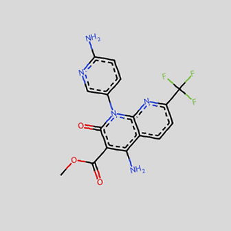 COC(=O)c1c(N)c2ccc(C(F)(F)F)nc2n(-c2ccc(N)nc2)c1=O